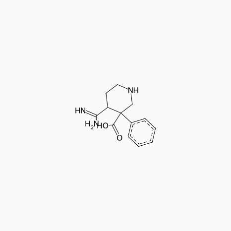 N=C(N)C1CCNCC1(C(=O)O)c1ccccc1